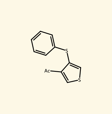 CC(=O)c1cscc1Sc1ccccc1